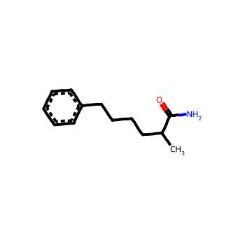 CC(CCCCc1ccccc1)C(N)=O